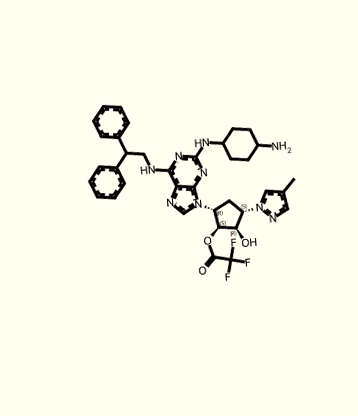 Cc1cnn([C@H]2C[C@@H](n3cnc4c(NCC(c5ccccc5)c5ccccc5)nc(NC5CCC(N)CC5)nc43)[C@H](OC(=O)C(F)(F)F)[C@@H]2O)c1